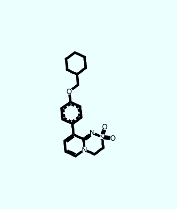 O=S1(=O)CCN2C=CC=C(c3ccc(OCC4CCCCC4)cc3)C2=N1